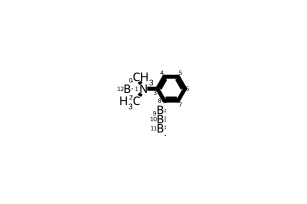 CN(C)c1ccccc1.[B].[B].[B].[B]